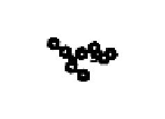 c1ccc(-c2ccc(N(c3ccc(-c4cccc5c4sc4ccc6ccccc6c45)cc3)c3cccc(-c4ccccc4)c3)cc2)cc1